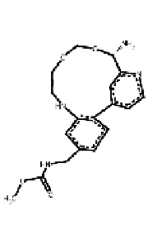 COC(=O)NCc1ccc2c(c1)NCCCCC[C@H](N)c1cc-2ccn1